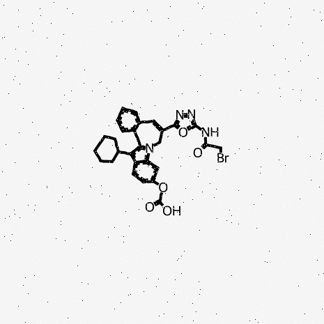 O=C(CBr)Nc1nnc(C2=Cc3ccccc3-c3c(C4CCCCC4)c4ccc(OC(=O)O)cc4n3C2)o1